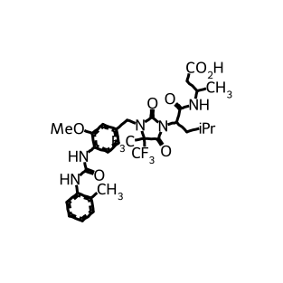 COc1cc(CN2C(=O)N(C(CC(C)C)C(=O)NC(C)CC(=O)O)C(=O)C2(C(F)(F)F)C(F)(F)F)ccc1NC(=O)Nc1ccccc1C